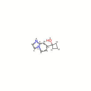 OC1(c2ccn3ccnc3c2)CCC1